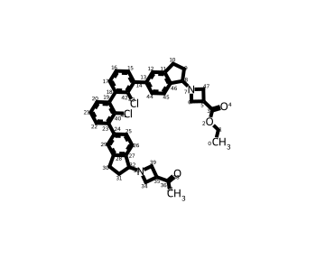 CCOC(=O)C1CN(C2CCc3cc(-c4cccc(-c5cccc(-c6ccc7c(c6)CCC7N6CC(C(C)=O)C6)c5Cl)c4Cl)ccc32)C1